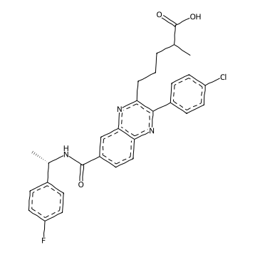 CC(CCCc1nc2cc(C(=O)N[C@@H](C)c3ccc(F)cc3)ccc2nc1-c1ccc(Cl)cc1)C(=O)O